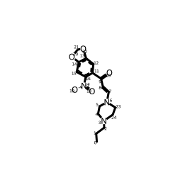 CCCN1CCN(C=CC(=O)c2cc3c(cc2[N+](=O)[O-])OCO3)CC1